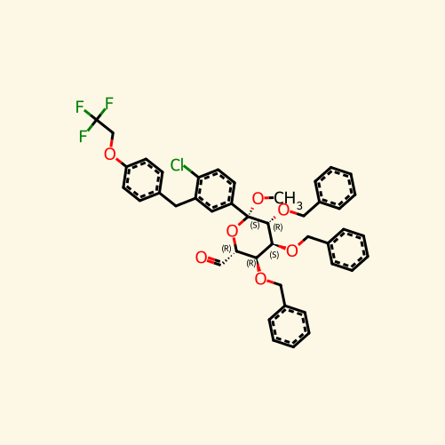 CO[C@@]1(c2ccc(Cl)c(Cc3ccc(OCC(F)(F)F)cc3)c2)O[C@@H](C=O)[C@H](OCc2ccccc2)[C@H](OCc2ccccc2)[C@H]1OCc1ccccc1